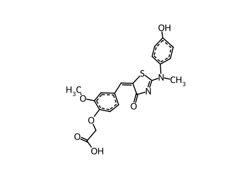 COc1cc(/C=C2/SC(N(C)c3ccc(O)cc3)=NC2=O)ccc1OCC(=O)O